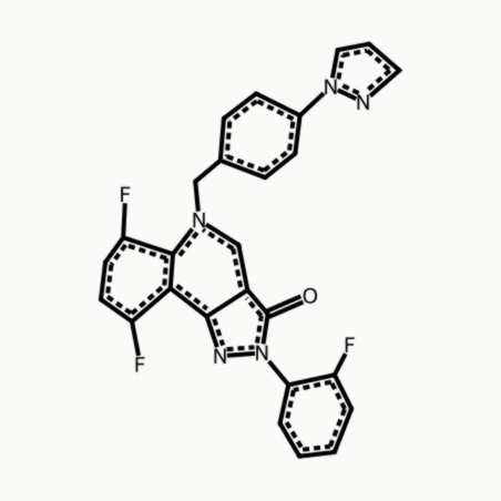 O=c1c2cn(Cc3ccc(-n4cccn4)cc3)c3c(F)ccc(F)c3c-2nn1-c1ccccc1F